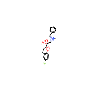 CN(Cc1ccccc1)CC(O)C1CCc2cc(F)ccc2O1